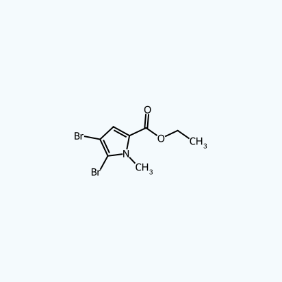 CCOC(=O)c1cc(Br)c(Br)n1C